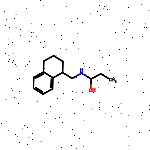 CCC(O)NCC1CCCc2ccccc21